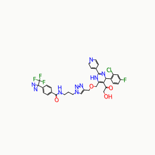 O=C(CO)C1=C(COCc2cn(CCCNC(=O)c3ccc(C4(C(F)(F)F)N=N4)cc3)nn2)NC(c2ccncc2)=NC1c1ccc(F)cc1Cl